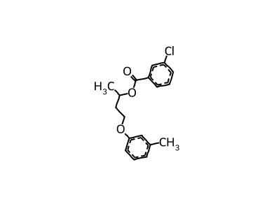 Cc1cccc(OCCC(C)OC(=O)c2cccc(Cl)c2)c1